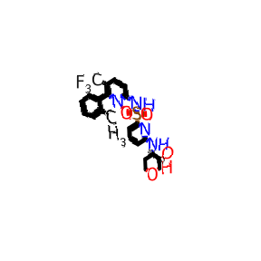 Cc1ccccc1-c1nc(NS(=O)(=O)c2cccc(N[C@@H]3CCOC[C@H]3O)n2)ccc1C(F)(F)F